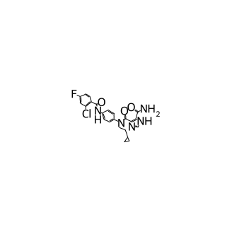 NC(=O)c1[nH]cnc1C(=O)N(CCC1CC1)c1ccc(NC(=O)c2ccc(F)cc2Cl)cc1